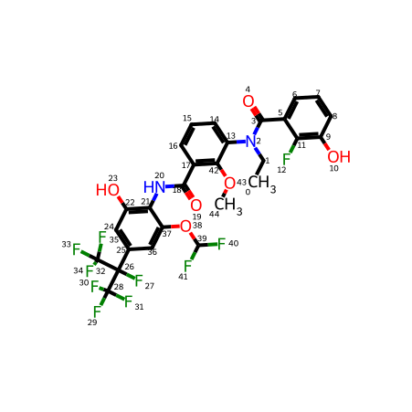 CCN(C(=O)c1cccc(O)c1F)c1cccc(C(=O)Nc2c(O)cc(C(F)(C(F)(F)F)C(F)(F)F)cc2OC(F)F)c1OC